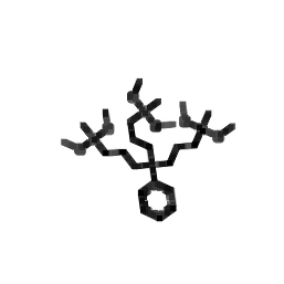 CO[Si](C)(CCCC(CCC[Si](C)(OC)OC)(CCC[Si](C)(OC)OC)c1ccccc1)OC